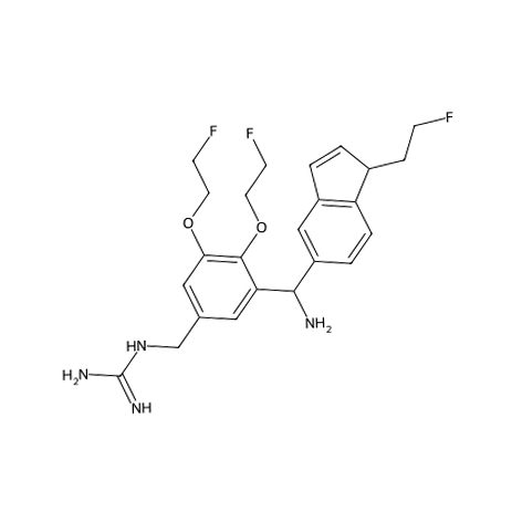 N=C(N)NCc1cc(OCCF)c(OCCF)c(C(N)c2ccc3c(c2)C=CC3CCF)c1